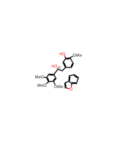 COc1ccc(C[C@@H](O)c2cc(OC)c(OC)c(OC)c2)cc1O.c1ccc2occc2c1